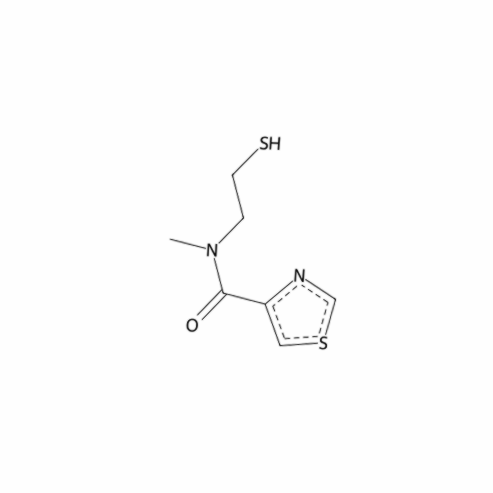 CN(CCS)C(=O)c1cscn1